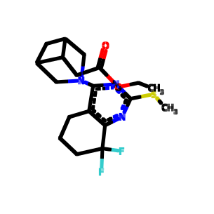 CCOC(=O)CC1C2CC1CN(c1nc(SC)nc3c1CCCC3(F)F)C2